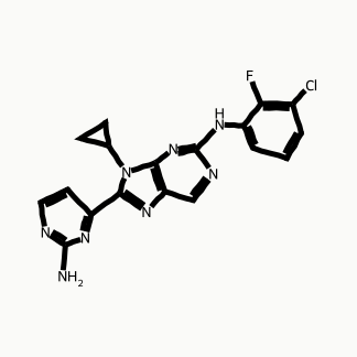 Nc1nccc(-c2nc3cnc(Nc4cccc(Cl)c4F)nc3n2C2CC2)n1